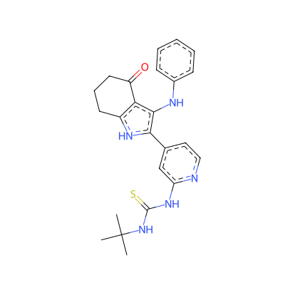 CC(C)(C)NC(=S)Nc1cc(-c2[nH]c3c(c2Nc2ccccc2)C(=O)CCC3)ccn1